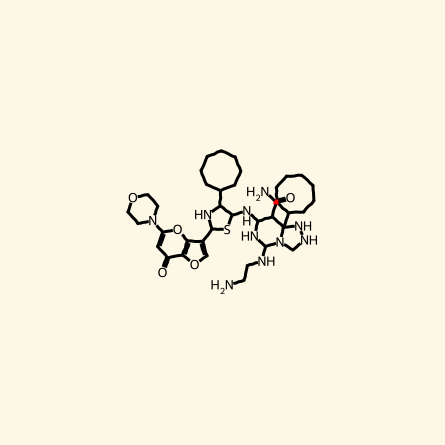 NCCNC1NC(NC2SC(c3coc4c(=O)cc(N5CCOCC5)oc34)NC2C2CCCCCCC2)C(C(N)=O)C2(C3CCCCCCC3)NNCN12